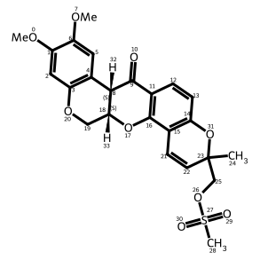 COc1cc2c(cc1OC)[C@@H]1C(=O)c3ccc4c(c3O[C@@H]1CO2)C=CC(C)(COS(C)(=O)=O)O4